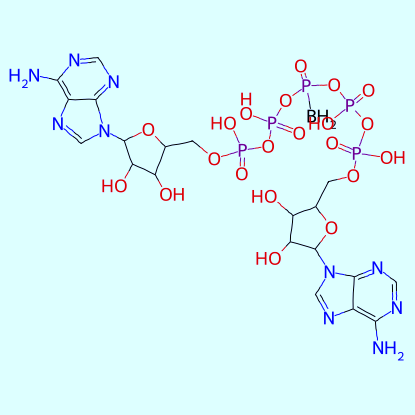 BP(=O)(OP(=O)(O)OP(=O)(O)OCC1OC(n2cnc3c(N)ncnc32)C(O)C1O)OP(=O)(O)OP(=O)(O)OCC1OC(n2cnc3c(N)ncnc32)C(O)C1O